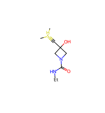 CCNC(=O)N1CC(O)(C#[SH](C)C)C1